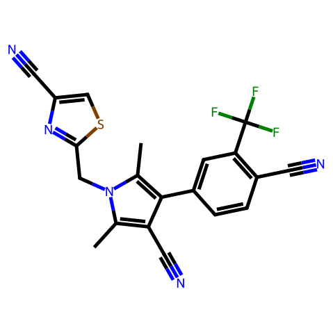 Cc1c(C#N)c(-c2ccc(C#N)c(C(F)(F)F)c2)c(C)n1Cc1nc(C#N)cs1